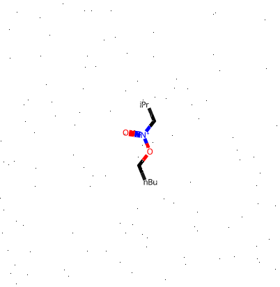 CCCCCO[N+](=O)CC(C)C